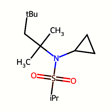 CC(C)S(=O)(=O)N(C1CC1)C(C)(C)CC(C)(C)C